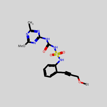 CCOCC#Cc1ccccc1NS(=O)(=O)NC(=O)Nc1nc(C)nc(OC)n1